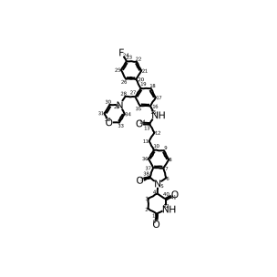 O=C1CCC(N2Cc3ccc(CCC(=O)Nc4ccc(-c5ccc(F)cc5)c(CN5C=COC=C5)c4)cc3C2=O)C(=O)N1